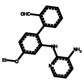 CCOc1ccc(-c2ccccc2C=O)c(Nc2ncccc2N)c1